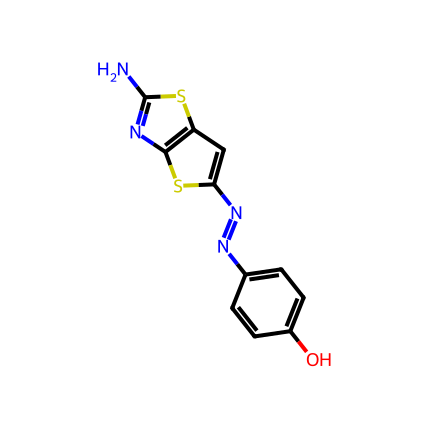 Nc1nc2sc(N=Nc3ccc(O)cc3)cc2s1